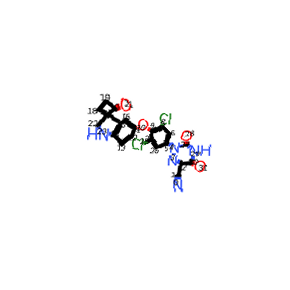 N#Cc1nn(-c2cc(Cl)c(Oc3ccc4c(c3)C3(CCC3=O)CN4)c(Cl)c2)c(=O)[nH]c1=O